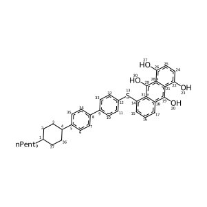 CCCCCC1CCC(c2ccc(-c3ccc(Sc4cccc5c(O)c6c(O)ccc(O)c6c(O)c45)cc3)cc2)CC1